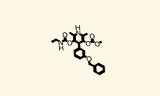 CCNC(=O)OC1=C(C)NC(C)=C(OC(=O)OC)C1c1cccc(OCc2ccccc2)c1